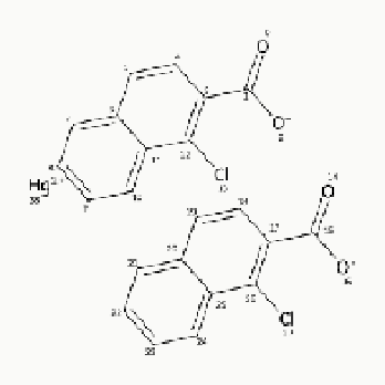 O=C([O-])c1ccc2ccccc2c1Cl.O=C([O-])c1ccc2ccccc2c1Cl.[Hg+2]